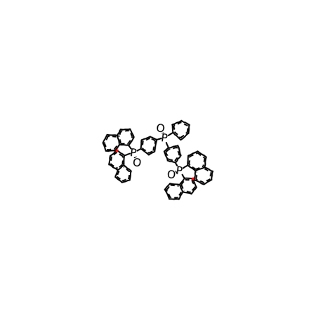 O=P(c1ccccc1)(c1ccc(P(=O)(c2cccc3ccccc23)c2cccc3ccccc23)cc1)c1ccc(P(=O)(c2cccc3ccccc23)c2cccc3ccccc23)cc1